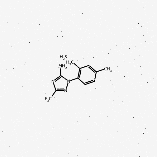 Cc1ccc(-n2nc(C(F)(F)F)nc2N)c(C)c1.S